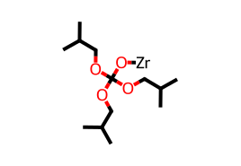 CC(C)COC([O][Zr])(OCC(C)C)OCC(C)C